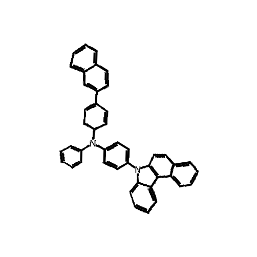 C1=CC(N(c2ccccc2)c2ccc(-n3c4ccccc4c4c5ccccc5ccc43)cc2)CC=C1c1ccc2ccccc2c1